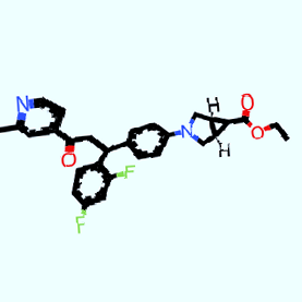 CCOC(=O)C1[C@H]2CN(c3ccc(C(CC(=O)c4ccnc(C)c4)c4ccc(F)cc4F)cc3)C[C@@H]12